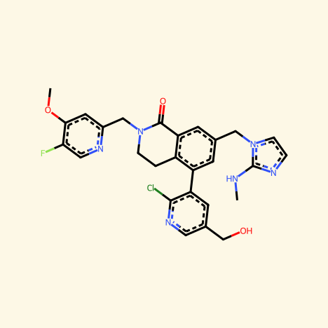 CNc1nccn1Cc1cc2c(c(-c3cc(CO)cnc3Cl)c1)CCN(Cc1cc(OC)c(F)cn1)C2=O